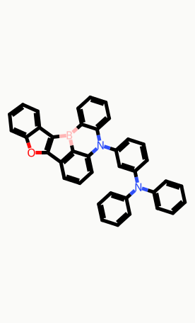 c1ccc(N(c2ccccc2)c2cccc(N3c4ccccc4B4c5c(cccc53)-c3oc5ccccc5c34)c2)cc1